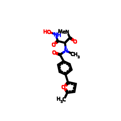 CNC(=O)C(C(=O)NO)N(C)C(=O)c1ccc(-c2ccc(C)o2)cc1